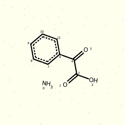 N.O=C(O)C(=O)c1ccccc1